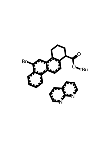 CC(C)(C)OC(=O)C1CCCc2c1ccc1c2cc(Br)c2ccccc21.c1cnc2ncccc2c1